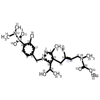 Cc1nn(Cc2ccc(S(=O)(=O)N(C)C)c(Cl)c2)c(C(C)O)c1C/C(F)=C/CN(C)C(=O)OC(C)(C)C